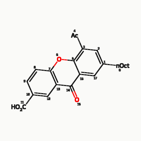 CCCCCCCCc1cc(C(C)=O)c2oc3ccc(C(=O)O)cc3c(=O)c2c1